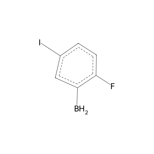 Bc1cc(I)ccc1F